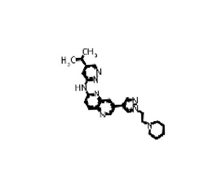 CC(C)c1cnnc(Nc2ccc3ncc(-c4cnn(CCN5CCCCC5)c4)cc3n2)c1